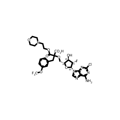 Nc1nc(Cl)nc2c1ncn2[C@@H]1O[C@H](COC(Cc2cccc(OC(F)(F)F)c2)(C(=O)O)C(=O)OCCN2CCOCC2)[C@@H](O)[C@@H]1F